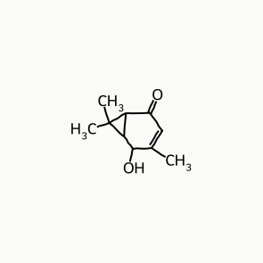 CC1=CC(=O)C2C(C1O)C2(C)C